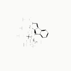 CC1C=C2C(=C(N([SiH](C)C)C(C)(C)C)c3ccccc32)N1C